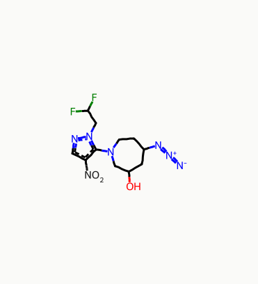 [N-]=[N+]=NC1CCN(c2c([N+](=O)[O-])cnn2CC(F)F)CC(O)C1